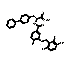 COC(=O)[C@H](Cc1ccc(-c2ccccc2)cc1)NC(=O)c1ccc(C)c(NCc2c(F)ccc(O)c2F)c1